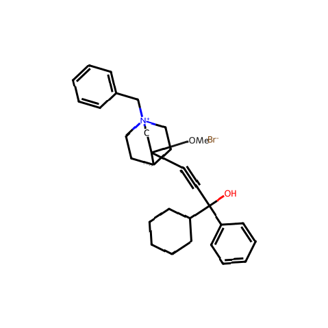 COC1(C#CC(O)(c2ccccc2)C2CCCCC2)C[N+]2(Cc3ccccc3)CCC1CC2.[Br-]